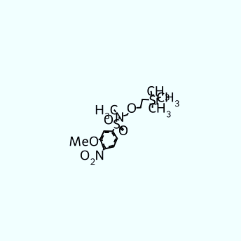 COc1cc(S(=O)(=O)N(C)COCC[Si](C)(C)C)ccc1[N+](=O)[O-]